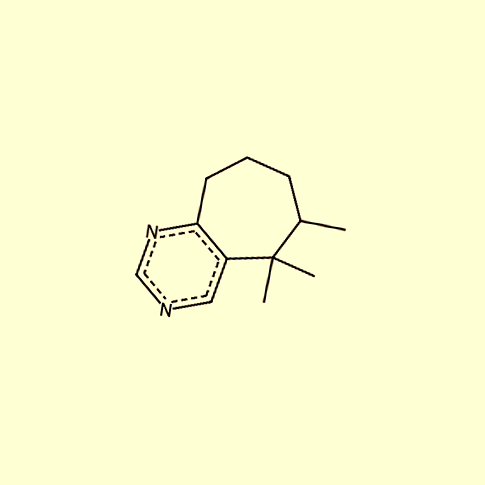 CC1CCCc2ncncc2C1(C)C